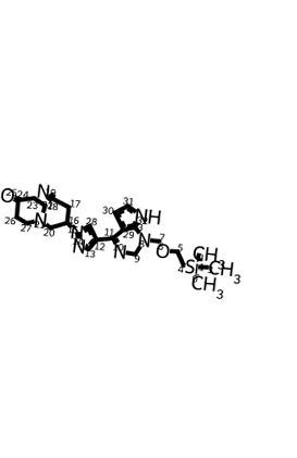 C[Si](C)(C)CCOCN1CN=C(c2cnn(C(CC#N)CN3CCC(=O)CC3)c2)c2cc[nH]c21